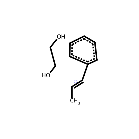 C/C=C/c1ccccc1.OCCO